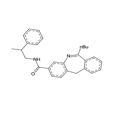 CCCCC1=Nc2cc(C(=O)NCC(C)c3ccccc3)ccc2Cc2ccccc21